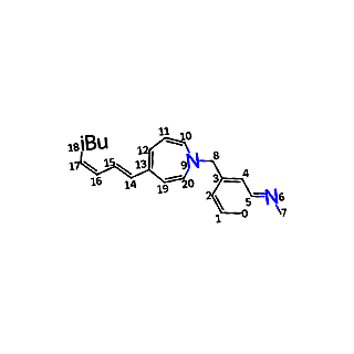 C\C=C/C(=C\C=N\C)CN1C=CC=C(C=C/C=C\C(C)CC)C=C1